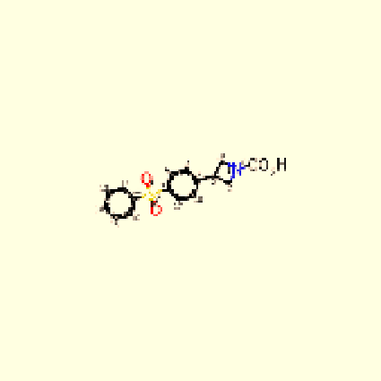 O=C(O)N1CC(c2ccc(S(=O)(=O)c3ccccc3)cc2)C1